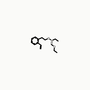 C=Cc1ccccc1CCO[SiH](CC)COCC